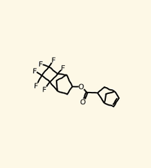 O=C(OC1CC2CC1C1(F)C(F)(F)C(F)(F)C21F)C1CC2C=CC1C2